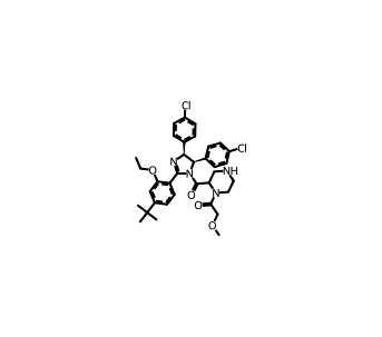 CCOc1cc(C(C)(C)C)ccc1C1=N[C@@H](c2ccc(Cl)cc2)[C@@H](c2ccc(Cl)cc2)N1C(=O)C1CNCCN1C(=O)COC